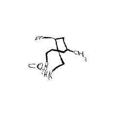 CC[C@H]1CC(C)[C@]1(CN)CC(=O)O